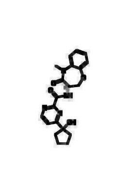 CN1C(=O)[C@@H](NC(=O)c2nccc(C3(O)CCCC3)n2)COc2ccccc21